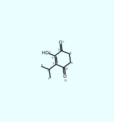 CC(C)C1=C(O)C(=O)CCC1=O